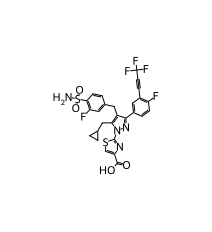 NS(=O)(=O)c1ccc(Cc2c(-c3ccc(F)c(C#CC(F)(F)F)c3)nn(-c3nc(C(=O)O)cs3)c2CC2CC2)cc1F